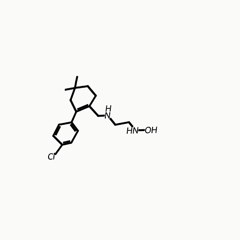 CC1(C)CCC(CNCCNO)=C(c2ccc(Cl)cc2)C1